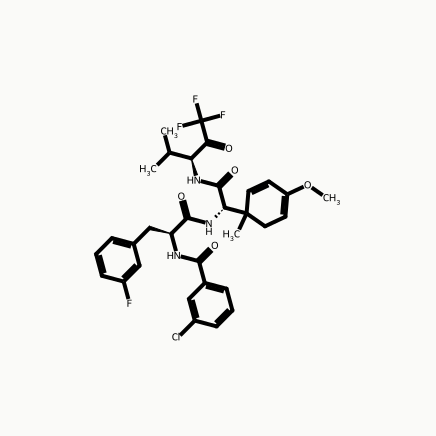 COC1=CCC(C)([C@H](NC(=O)[C@H](Cc2cccc(F)c2)NC(=O)c2cccc(Cl)c2)C(=O)N[C@H](C(=O)C(F)(F)F)C(C)C)C=C1